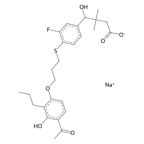 CCCc1c(OCCCSc2ccc(C(O)C(C)(C)CC(=O)[O-])cc2F)ccc(C(C)=O)c1O.[Na+]